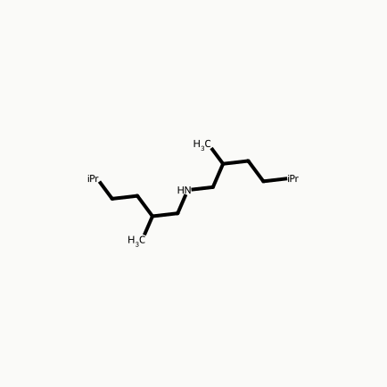 CC(C)CCC(C)CNCC(C)CCC(C)C